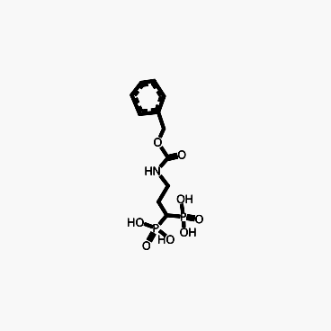 O=C(NCCC(P(=O)(O)O)P(=O)(O)O)OCc1ccccc1